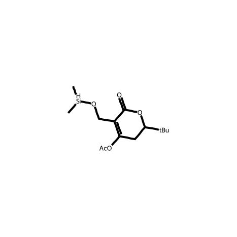 CC(=O)OC1=C(CO[SiH](C)C)C(=O)OC(C(C)(C)C)C1